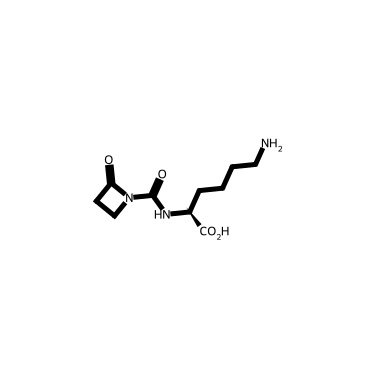 NCCCC[C@H](NC(=O)N1CCC1=O)C(=O)O